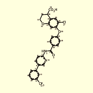 O=C(Nc1ccc(-c2cccc(C(F)(F)F)c2)cn1)c1ccc(Oc2cc3c(cc2Cl)C(C(=O)O)CCO3)cc1